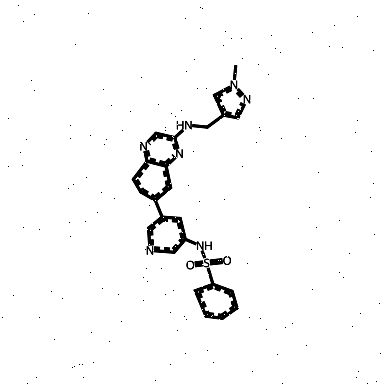 Cn1cc(CNc2cnc3ccc(-c4cncc(NS(=O)(=O)c5ccccc5)c4)cc3n2)cn1